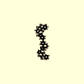 CCN(CC)C(C(=O)N1CCC[C@H]1c1nc2c([nH]1)CCCc1cc(-c3ccc4nc([C@@H]5CCCN5C(=O)[C@@H](c5ccccc5)N(CC)CC)[nH]c4c3)ccc1-2)c1ccccc1